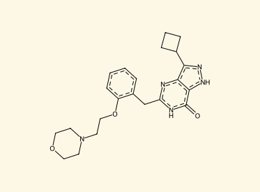 O=c1[nH]c(Cc2ccccc2OCCN2CCOCC2)nc2c(C3CCC3)n[nH]c12